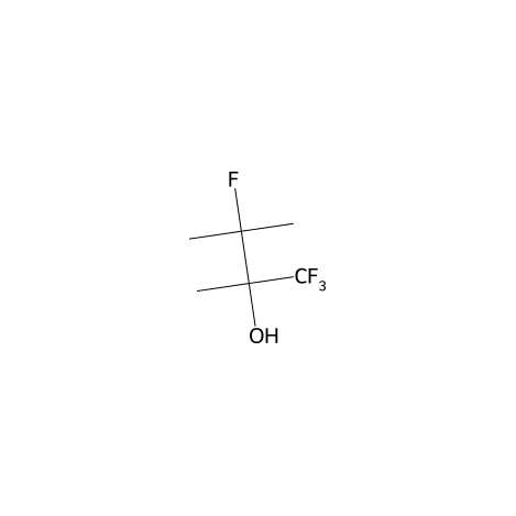 CC(C)(F)C(C)(O)C(F)(F)F